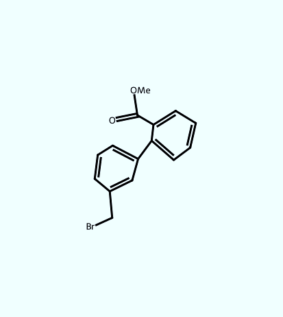 COC(=O)c1ccccc1-c1cccc(CBr)c1